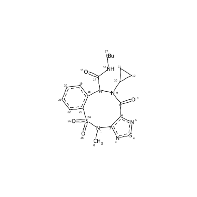 CN1c2nsnc2C(=O)N(C2CC2)C(C(=O)NC(C)(C)C)c2ccccc2S1(=O)=O